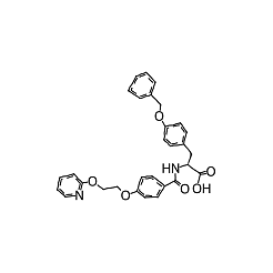 O=C(N[C@@H](Cc1ccc(OCc2ccccc2)cc1)C(=O)O)c1ccc(OCCOc2ccccn2)cc1